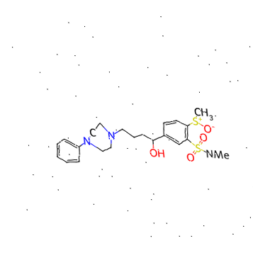 CNS(=O)(=O)c1cc(C(O)CCCN2CCN(c3ccccc3)CC2)ccc1[S+](C)[O-]